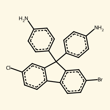 Nc1ccc(C2(c3ccc(N)cc3)c3cc(Cl)ccc3-c3ccc(Br)cc32)cc1